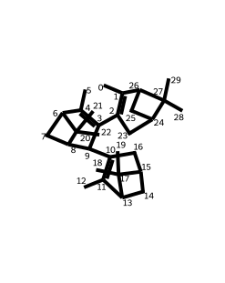 CC1=C(C2=C(C)C3CC(C2C2=C(C)C4CC(C2)C4(C)C)C3(C)C)CC2CC1C2(C)C